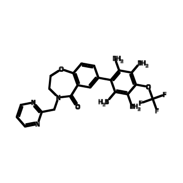 Bc1c(B)c(-c2ccc3c(c2)C(=O)N(Cc2ncccn2)CCO3)c(B)c(B)c1OC(F)(F)F